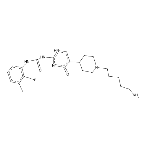 Cc1cccc(NC(=O)Nc2nc(=O)c(C3CCN(CCCCCN)CC3)c[nH]2)c1F